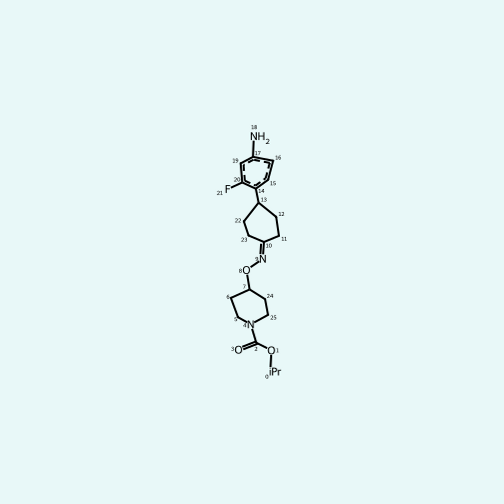 CC(C)OC(=O)N1CCC(ON=C2CCC(c3ccc(N)cc3F)CC2)CC1